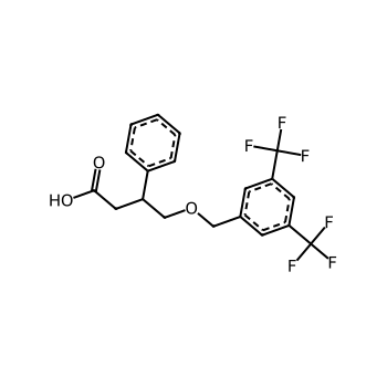 O=C(O)CC(COCc1cc(C(F)(F)F)cc(C(F)(F)F)c1)c1ccccc1